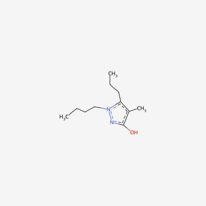 CCCCn1nc(O)c(C)c1CCC